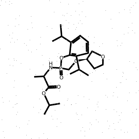 CC(C)OC(=O)C(C)NP(=O)(CO[C@@H]1CCOC1)Oc1c(C(C)C)cccc1C(C)C